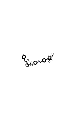 C[C@H](NC=O)C(=O)Nc1ccc(/C=C/c2ccc(NC(=O)[C@@H]3CCCN3C(=O)Cc3ccccc3)cc2)cc1